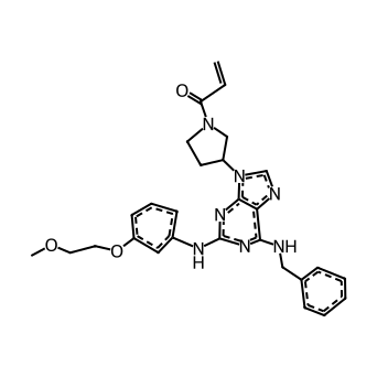 C=CC(=O)N1CCC(n2cnc3c(NCc4ccccc4)nc(Nc4cccc(OCCOC)c4)nc32)C1